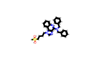 CS(=O)(=O)CCCCn1cnc2c(N(Cc3ccccc3)Cc3ccccc3)nc3ccccc3c21